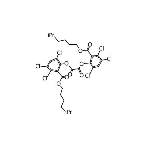 CC(C)CCCCOC(=O)c1c(Cl)c(Cl)cc(Cl)c1OC(=O)C(=O)Oc1c(Cl)cc(Cl)c(Cl)c1C(=O)OCCCCC(C)C